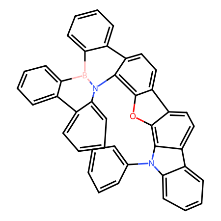 c1ccc(-n2c3ccccc3c3ccc4c5ccc6c(c5oc4c32)N2B(c3ccccc3-c3ccccc32)c2ccccc2-6)cc1